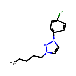 CCCCCN1C=CN(c2ccc(Br)cc2)N1